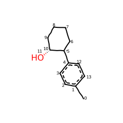 Cc1ccc([C]2CCCC[C@H]2O)cc1